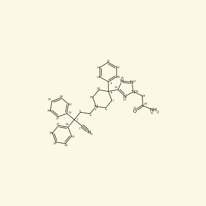 N#CC(CCN1CCC(c2ccccc2)(c2nnn(CC(N)=O)n2)CC1)(c1ccccc1)c1ccccc1